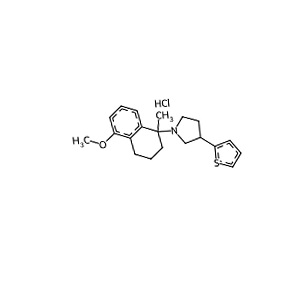 COc1cccc2c1CCCC2(C)N1CCC(c2cccs2)C1.Cl